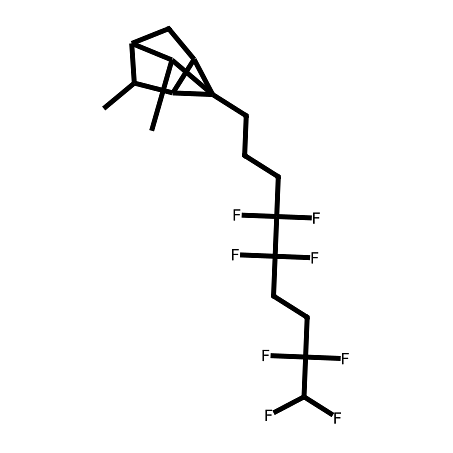 CC1C2CC3C1C3(CCCC(F)(F)C(F)(F)CCC(F)(F)C(F)F)C2C